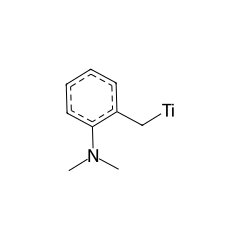 CN(C)c1ccccc1[CH2][Ti]